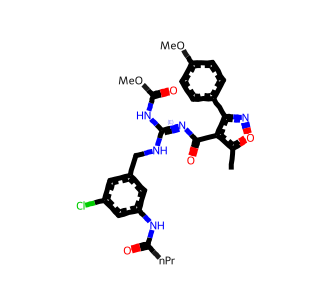 CCCC(=O)Nc1cc(Cl)cc(CN/C(=N\C(=O)c2c(-c3ccc(OC)cc3)noc2C)NC(=O)OC)c1